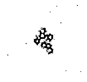 c1cnc2c(c1)ccc1c(-n3c4ccccc4c4c5ccncc5c5oc6ccccc6c5c43)ccnc12